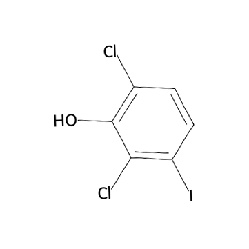 Oc1c(Cl)ccc(I)c1Cl